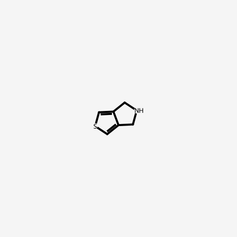 c1scc2c1CNC2